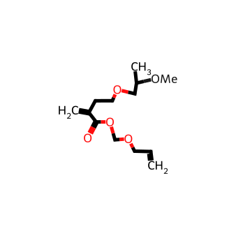 C=CCOCOC(=O)C(=C)CCOCC(C)OC